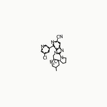 CC1CCC(Cn2c(N3CCC[C@H]3C(F)(F)F)nc3cc(C#N)nc(-c4cncc(Cl)c4)c32)CC1